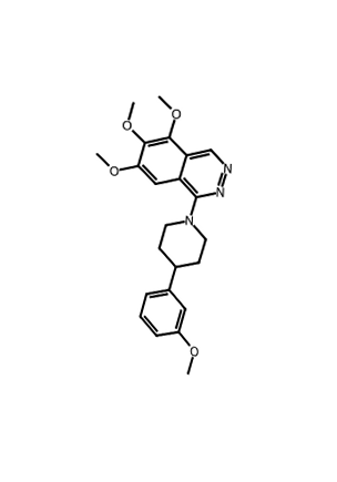 COc1cccc(C2CCN(c3nncc4c(OC)c(OC)c(OC)cc34)CC2)c1